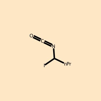 CCCC(I)N=C=O